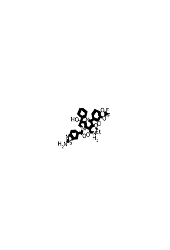 CCOc1c(C(N)=O)cc([C@@](O)(CNC(=O)c2ccc3nc(N)sc3c2)c2ccccc2)nc1-c1ccc2c(c1Cl)OC(F)(F)O2